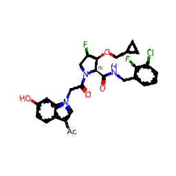 CC(=O)c1cn(CC(=O)N2CC(F)C(OCC3CC3)[C@H]2C(=O)NCc2cccc(Cl)c2F)c2cc(O)ccc12